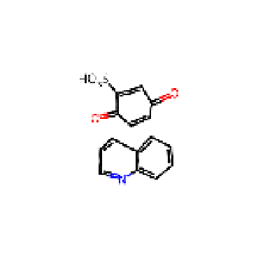 O=C1C=CC(=O)C(S(=O)(=O)O)=C1.c1ccc2ncccc2c1